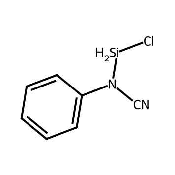 N#CN([SiH2]Cl)c1ccccc1